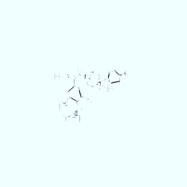 Cc1cc(C(O)C(C)N2CCC(O)(c3ccc(Cl)cc3)CC2)cc(C)c1O[Si](C(C)C)(C(C)C)C(C)C